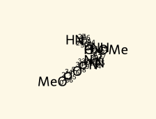 COc1ccc(COc2ccc(Nc3ncnc4cc(OC)c(NC(=O)C=C5CCNCC5)cc34)cc2)cc1